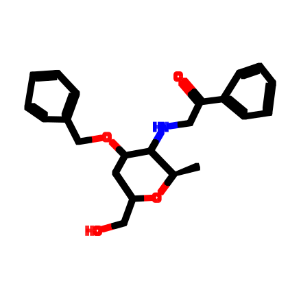 C[C@H]1OC(CO)CC(OCc2ccccc2)C1NCC(=O)c1ccccc1